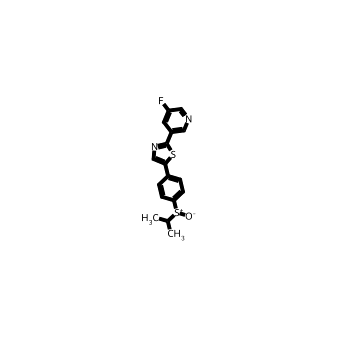 CC(C)[S+]([O-])c1ccc(-c2cnc(-c3cncc(F)c3)s2)cc1